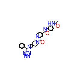 CC(=O)Nc1ccc2oc(-c3ccnc(C(=O)N4CCC5(CC4)CN(C(c4ccccc4)c4nnn(C)n4)C5)c3)nc2c1